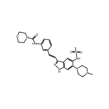 CN1CCN(c2cc3[nH]nc(/C=C/c4cccc(NC(=O)N5CCOCC5)c4)c3cc2NS(C)(=O)=O)CC1